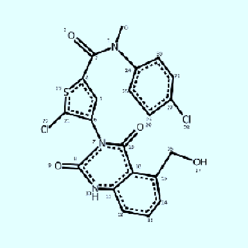 CN(C(=O)c1cc(-n2c(=O)[nH]c3cccc(CO)c3c2=O)c(Cl)s1)c1ccc(Cl)cc1